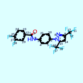 O=C(Nc1ccc(-n2nc(C(F)(F)F)cc2C(F)(F)F)cc1)c1ccc(F)c(F)c1